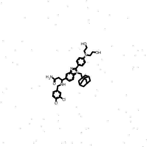 NC(=O)CC(NCc1ccc(Cl)c(Cl)c1)c1ccc2c(c1)nc(-c1ccc(N(CCO)CCO)cc1)n2CC12CC3CC(CC(C3)C1)C2